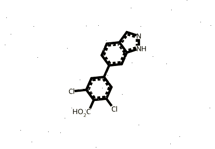 O=C(O)c1c(Cl)cc(-c2ccc3cn[nH]c3c2)cc1Cl